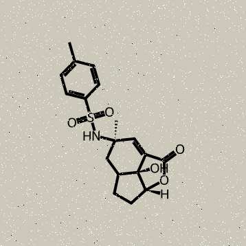 Cc1ccc(S(=O)(=O)N[C@@]2(C)C=C3C(=O)O[C@@H]4CCC(C2)[C@]34O)cc1